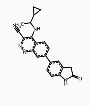 CC(Nc1c(C#N)nnc2cc(-c3ccc4c(c3)CC(=O)N4)ccc12)C1CC1